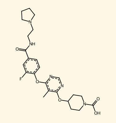 Cc1c(Oc2ccc(C(=O)NCCN3CCCC3)cc2F)ncnc1OC1CCN(C(=O)O)CC1